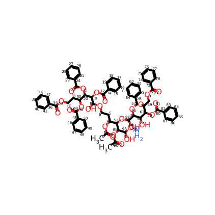 CC(=O)OC(CCOC(O)C(OC(=O)c1ccccc1)C(OC(=O)c1ccccc1)C(CCOC(=O)c1ccccc1)OC(=O)c1ccccc1)C(OC(O)C(OC(=O)c1ccccc1)C(O)C(CCOC(=O)c1ccccc1)OC(=O)c1ccccc1)C(OC(C)=O)C(O)ON